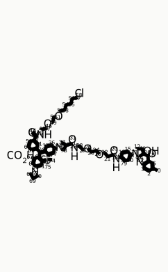 Cc1ccc2c(c1)C(=O)C1(O)CCN(c3ccc(NC(=O)CCOCCOCCNC(=O)C4C[N+](=C5C=CC6=C(c7cc(C(=O)NCCOCCOCCCCCCCl)ccc7C(=O)O)c7ccc(N8CCC8)cc7[Si](C)(C)C6=C5)C4)cc3)C1=N2